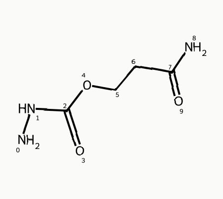 NNC(=O)OCCC(N)=O